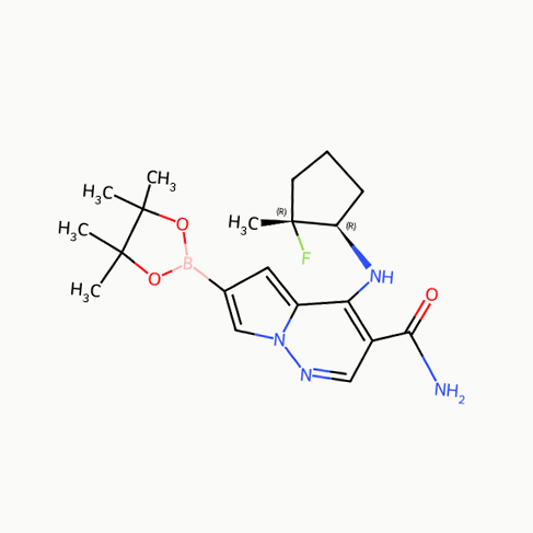 CC1(C)OB(c2cc3c(N[C@@H]4CCC[C@@]4(C)F)c(C(N)=O)cnn3c2)OC1(C)C